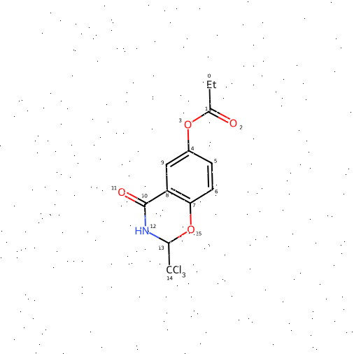 CCC(=O)Oc1ccc2c(c1)C(=O)NC(C(Cl)(Cl)Cl)O2